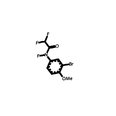 COc1ccc(N(F)C(=O)C(F)F)cc1Br